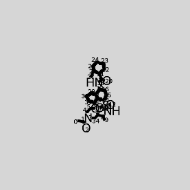 CC(=O)N1CCOC(C(C)NS(=O)(=O)c2ccc(NC(=O)c3ccccc3C)c3ccccc23)C1